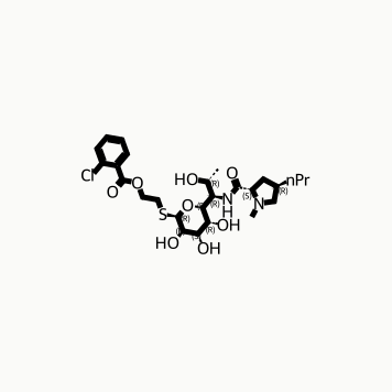 CCC[C@@H]1C[C@@H](C(=O)N[C@@H]([C@H]2O[C@H](SCCOC(=O)c3ccccc3Cl)[C@H](O)[C@@H](O)[C@H]2O)[C@@H](C)O)N(C)C1